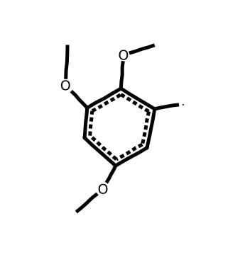 [CH2]c1cc(OC)cc(OC)c1OC